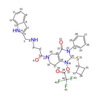 O=C(CCNCc1cc2ccccc2[nH]1)N1CCC2=C(C1)C(=O)N(c1ccccc1)C(SC1CCC1)N2OC(=O)C(F)(F)F